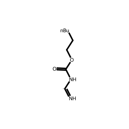 CCCCCCOC(=O)N[C]=N